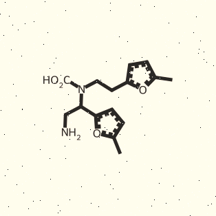 Cc1ccc(CCN(C(=O)O)C(CN)c2ccc(C)o2)o1